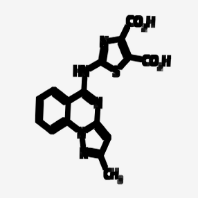 Cc1cc2nc(Nc3nc(C(=O)O)c(C(=O)O)s3)c3ccccc3n2n1